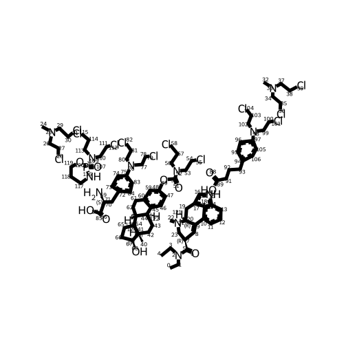 CCN(CC)C(=O)[C@@H]1C=C2c3cccc4[nH]cc(c34)C[C@H]2N(C)C1.CN(CCCl)CCCl.CN(CCCl)CCCl.C[C@]12CC[C@@H]3c4ccc(OC(=O)N(CCCl)CCCl)cc4CC[C@H]3[C@@H]1CC[C@@H]2O.N[C@@H](Cc1ccc(N(CCCl)CCCl)cc1)C(=O)O.O=C(O)CCCc1ccc(N(CCCl)CCCl)cc1.O=P1(N(CCCl)CCCl)NCCCO1